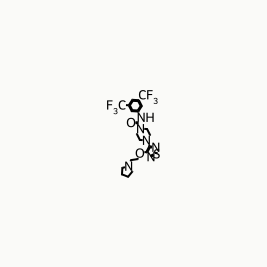 O=C(Nc1cc(C(F)(F)F)cc(C(F)(F)F)c1)N1CCN(c2nsnc2OCCN2CCCC2)CC1